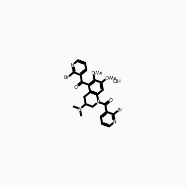 COc1cc2c(c(C(=O)c3cccnc3Br)c1OC)CC(N(C)C)CN2C(=O)c1cccnc1Br.Cl